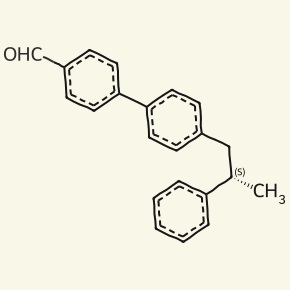 C[C@@H](Cc1ccc(-c2ccc(C=O)cc2)cc1)c1ccccc1